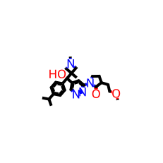 COCCC1CCN(c2cc(C(O)(c3ccc(C(C)C)cc3)C3(C)CN(C)C3)cnn2)C1=O